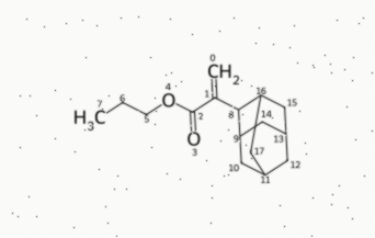 C=C(C(=O)OCCC)C1C2CC3CC(C2)CC1C3